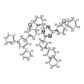 c1ccc(-c2cc(-c3ccccc3)cc(-c3ccc4c(c3)oc3cccc(-c5nc(-c6cccc(-c7ccc8ccccc8c7)c6)nc(-c6ccc7c(c6)oc6ccccc67)n5)c34)c2)cc1